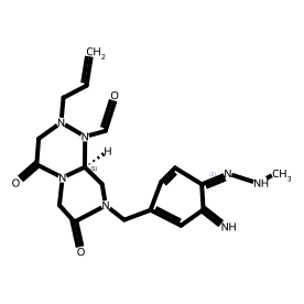 C=CCN1CC(=O)N2CC(=O)N(CC3=CC(=N)/C(=N\NC)C=C3)C[C@@H]2N1C=O